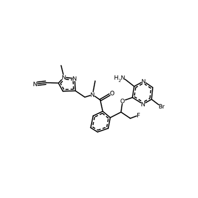 CN(Cc1cc(C#N)n(C)n1)C(=O)c1ccccc1C(CF)Oc1nc(Br)cnc1N